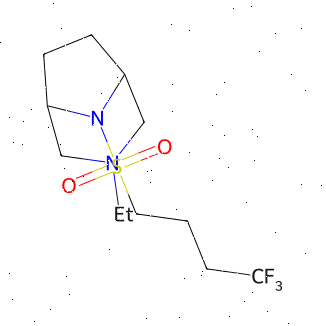 CCN1CC2CCC(C1)N2S(=O)(=O)CCCC(F)(F)F